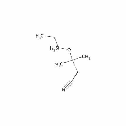 CC[SiH2]OC(C)(C)CC#N